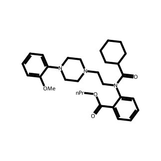 CCCOC(=O)c1ccccc1N(CCN1CCN(c2ccccc2OC)CC1)C(=O)C1CCCCC1